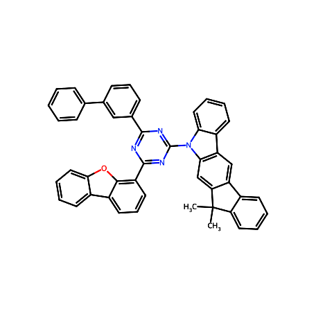 CC1(C)c2ccccc2-c2cc3c4ccccc4n(-c4nc(-c5cccc(-c6ccccc6)c5)nc(-c5cccc6c5oc5ccccc56)n4)c3cc21